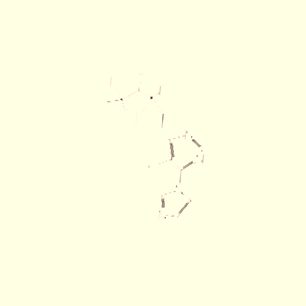 Cc1c(OCC(F)(F)C(F)C(F)(F)F)ncnc1-n1ccnc1